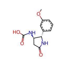 COc1cccc([C@@H]2NC(=O)C[C@H]2NC(=O)O)c1